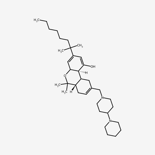 CCCCCCC(C)(C)C1=CC2OC(C)(C)[C@H]3CC=C(CN4CCC(N5CCCCC5)CC4)CC3[C@@H]2C(O)=C1